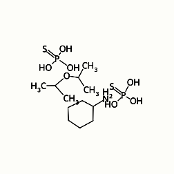 CC(C)OC(C)C.NC1CCCCC1.OP(O)(O)=S.OP(O)(O)=S